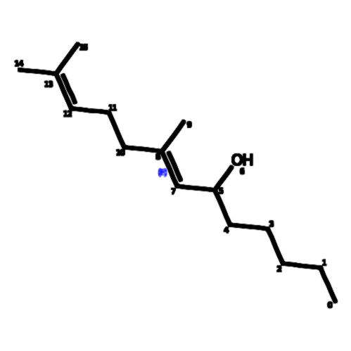 CCCCCC(O)/C=C(\C)CCC=C(C)C